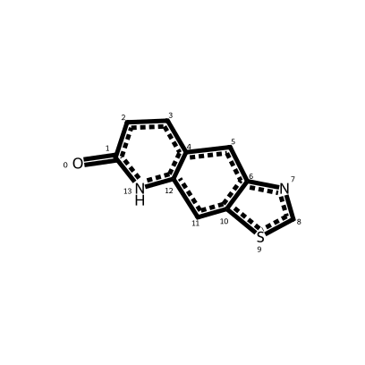 O=c1ccc2cc3ncsc3cc2[nH]1